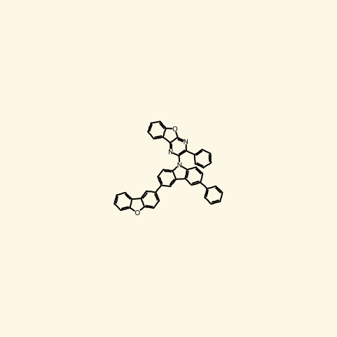 c1ccc(-c2ccc3c(c2)c2cc(-c4ccc5oc6ccccc6c5c4)ccc2n3-c2nc3c(nc2-c2ccccc2)oc2ccccc23)cc1